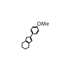 COc1ccc(C2=CC3=C(CCCC3)C2)cc1